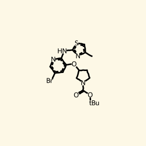 Cc1csc(Nc2ncc(Br)cc2OC2CCN(C(=O)OC(C)(C)C)C2)n1